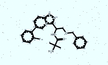 CC(C)(N)C(=O)NC(COCc1ccccc1)c1nnc2ccc(-c3ccccc3F)cn12